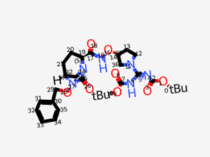 CC(C)(C)OC(=O)/N=C(\NC(=O)OC(C)(C)C)N1CC[C@H](ONC(=O)[C@@H]2CC[C@H]3CN2C(=O)N3OCc2ccccc2)C1